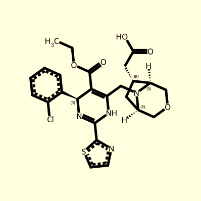 CCOC(=O)C1=C(CN2[C@H]3COC[C@@H]2[C@@H](CC(=O)O)C3)NC(c2nccs2)=N[C@H]1c1ccccc1Cl